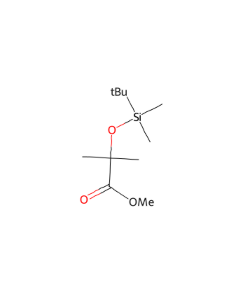 COC(=O)C(C)(C)O[Si](C)(C)C(C)(C)C